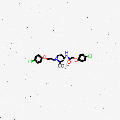 O=C(COc1ccc(Cl)cc1)NC1CCN(CCCOc2ccc(Cl)cc2)C(C(=O)O)C1